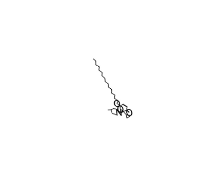 CCCCCCCCCCCCCCCCOC1C=CC(=O)C(CN2CCC(C)CC2)(C2CC2)O1